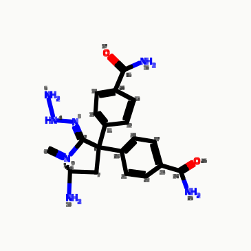 C=N/C(=N\NN)C(C[C@@H](C)N)(c1ccc(C(N)=O)cc1)c1ccc(C(N)=O)cc1